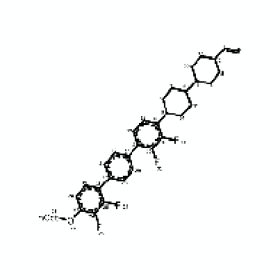 C=CC1CCC(C2CCC(c3ccc(-c4ccc(-c5ccc(OCCCCCCCC)c(F)c5F)cc4)c(F)c3F)CC2)CC1